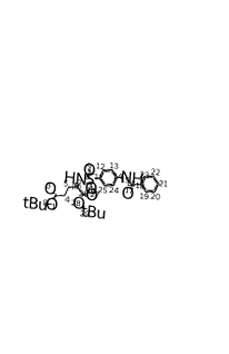 CC(C)(C)OC(=O)CC[C@@H](NS(=O)(=O)c1ccc(NC(=O)c2ccccc2)cc1)C(=O)OC(C)(C)C